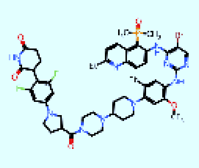 CCc1ccc2c(P(C)(C)=O)c(Nc3nc(Nc4cc(CC)c(N5CCC(N6CCN(C(=O)C7CCN(c8cc(F)c(C9CCC(=O)NC9=O)c(F)c8)C7)CC6)CC5)cc4OC(F)(F)F)ncc3Br)ccc2n1